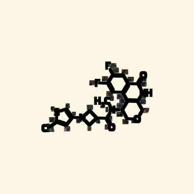 CN(C(=O)C1CN(c2csc(Cl)c2)C1)[C@@H]1COCc2[nH]c(=O)c3cc(F)c(F)cc3c21